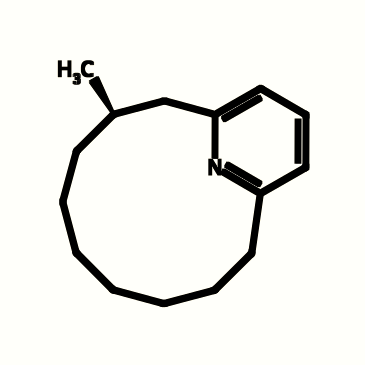 C[C@@H]1CCCCCCCc2cccc(n2)C1